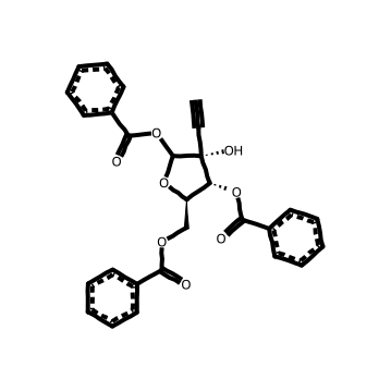 C#C[C@]1(O)C(OC(=O)c2ccccc2)O[C@H](COC(=O)c2ccccc2)[C@H]1OC(=O)c1ccccc1